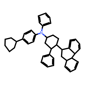 C1=CC=CC2C=1C(C1CCC(N(c3ccccc3)c3ccc(C4CCCCC4)cc3)CC1c1ccccc1)CC1C=CC=CC12